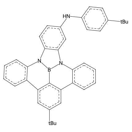 CC(C)(C)c1ccc(Nc2ccc3c(c2)N2B4c5c(cc(C(C)(C)C)cc5-c5ccccc52)-c2ccccc2N43)cc1